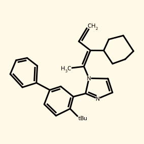 C=C/C(=C(\C)n1ccnc1-c1cc(-c2ccccc2)ccc1C(C)(C)C)C1CCCCC1